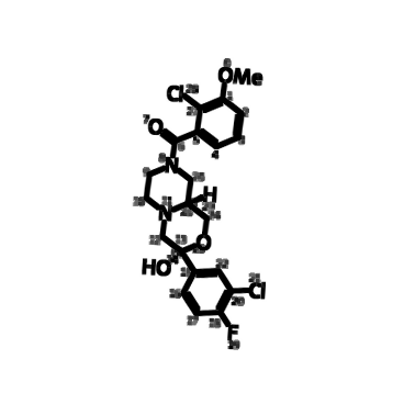 COc1cccc(C(=O)N2CCN3C[C@](O)(c4ccc(F)c(Cl)c4)OC[C@H]3C2)c1Cl